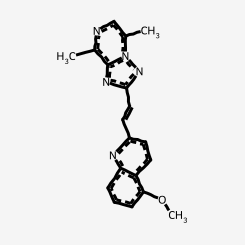 COc1cccc2nc(C=Cc3nc4c(C)ncc(C)n4n3)ccc12